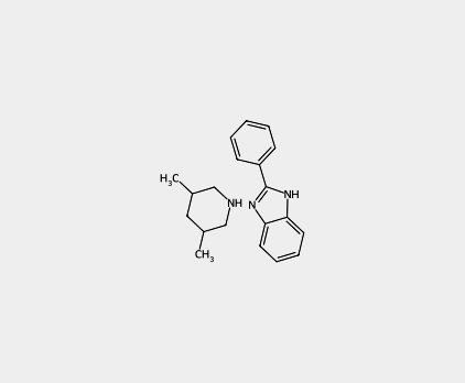 CC1CNCC(C)C1.c1ccc(-c2nc3ccccc3[nH]2)cc1